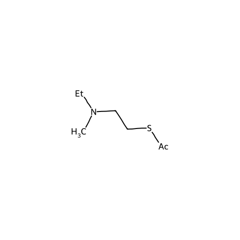 CCN(C)CCSC(C)=O